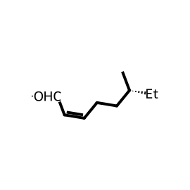 CC[C@@H](C)CC/C=C\[C]=O